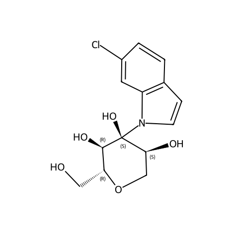 OC[C@H]1OC[C@H](O)[C@@](O)(n2ccc3ccc(Cl)cc32)[C@@H]1O